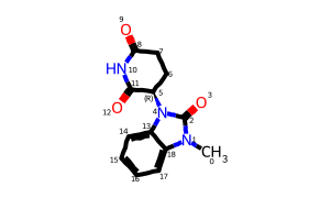 Cn1c(=O)n([C@@H]2CCC(=O)NC2=O)c2ccccc21